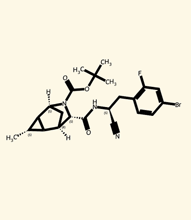 C[C@H]1C2C1[C@@H]1C[C@H]2[C@@H](C(=O)N[C@H](C#N)Cc2ccc(Br)cc2F)N1C(=O)OC(C)(C)C